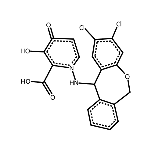 O=C(O)c1c(O)c(=O)ccn1NC1c2ccccc2COc2cc(Cl)c(Cl)cc21